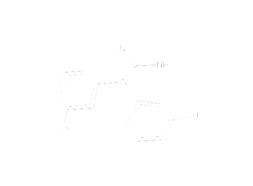 Cc1cccc(N(C(=N)N)c2cccc(C(F)(F)F)c2)c1